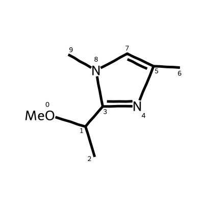 COC(C)c1nc(C)cn1C